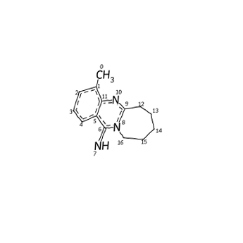 Cc1cccc2c(=N)n3c(nc12)CCCCC3